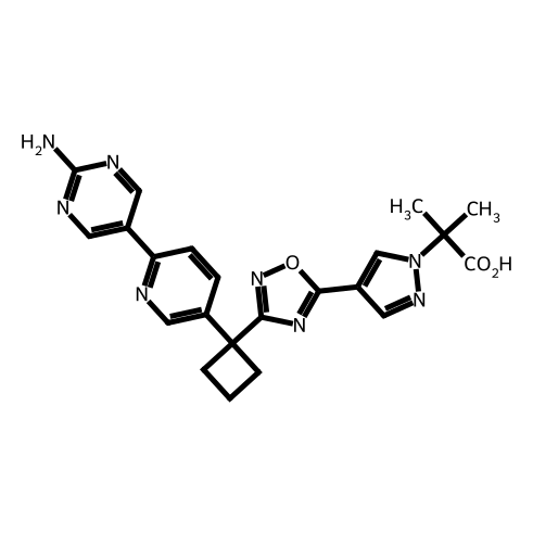 CC(C)(C(=O)O)n1cc(-c2nc(C3(c4ccc(-c5cnc(N)nc5)nc4)CCC3)no2)cn1